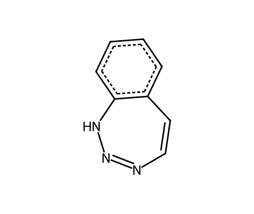 C1=Cc2ccccc2NN=N1